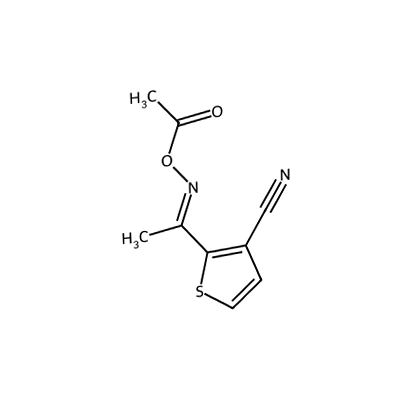 CC(=O)ON=C(C)c1sccc1C#N